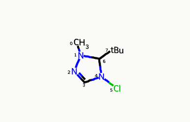 CN1N=CN(Cl)C1C(C)(C)C